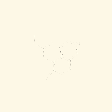 COC(=O)Cn1c(=O)ccc2cnccc21